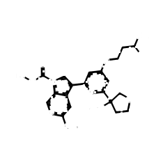 COC1(c2cc(OCCC(C)O)cc(-c3cn(C(=O)OC(C)(C)C)c4cnc(NC(C)=O)cc34)n2)CCOC1